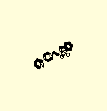 O=S1(=O)c2ccccc2CN1CCN1CCN(c2ccccn2)CC1